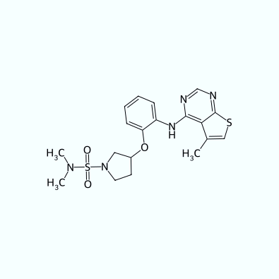 Cc1csc2ncnc(Nc3ccccc3OC3CCN(S(=O)(=O)N(C)C)C3)c12